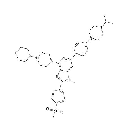 CC(C)N1CCN(c2ccc(-c3cc(C4CCN(C5CCOCC5)CC4)c4nc(-c5ccc(S(C)(=O)=O)cc5)n(C)c4c3)cc2)CC1